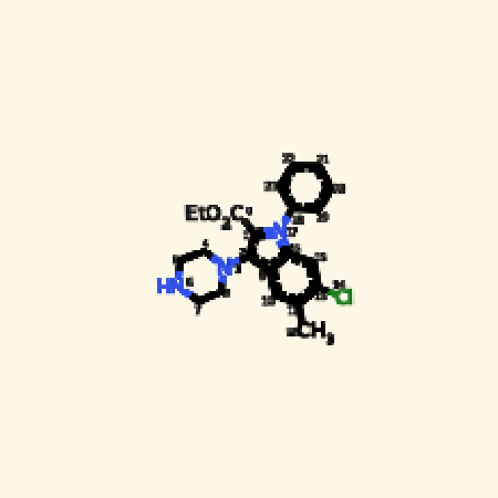 CCOC(=O)c1c(N2CCNCC2)c2cc(C)c(Cl)cc2n1-c1ccccc1